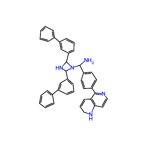 NC(c1ccc(-c2nccc3c2C=CCN3)cc1)N1C(c2cccc(-c3ccccc3)c2)NC1c1cccc(-c2ccccc2)c1